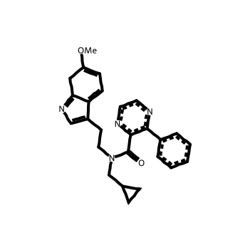 COC1=CC=C2C(CCN(CC3CC3)C(=O)c3nccnc3-c3ccccc3)=CN=C2C1